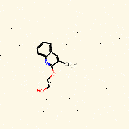 O=C(O)c1cc2ccccc2nc1OCCO